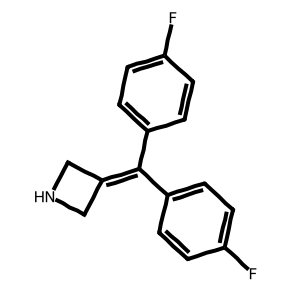 Fc1ccc(C(=C2CNC2)c2ccc(F)cc2)cc1